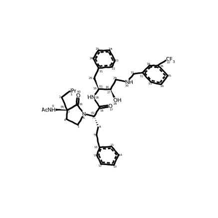 CC(=O)N[C@]1(CC(C)C)CCN([C@@H](CCc2ccccc2)C(=O)N[C@@H](Cc2ccccc2)[C@H](O)CNCc2cccc(C(F)(F)F)c2)C1=O